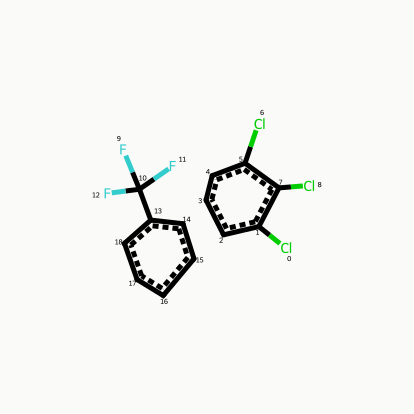 Clc1cccc(Cl)c1Cl.FC(F)(F)c1ccccc1